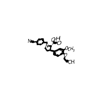 C#CCOc1ccc(C2CCN(Cc3ccc(C#N)cc3)[C@@H]2C(=O)O)cc1OC